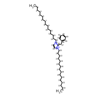 CCCCCCCCCCCCCCCCn1cc[n+](CCCCCCCCCCCCCCCC)c1Cc1ccccc1